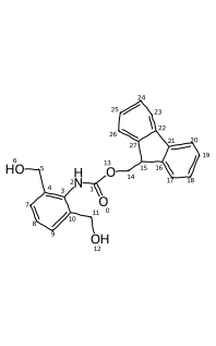 O=C(Nc1c(CO)cccc1CO)OCC1c2ccccc2-c2ccccc21